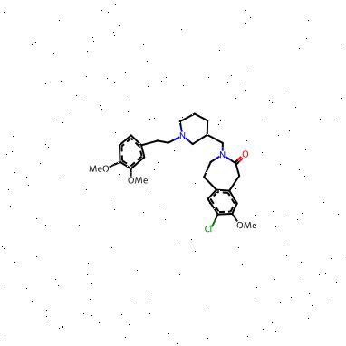 COc1cc2c(cc1Cl)CCN(CC1CCCN(CCc3ccc(OC)c(OC)c3)C1)C(=O)C2